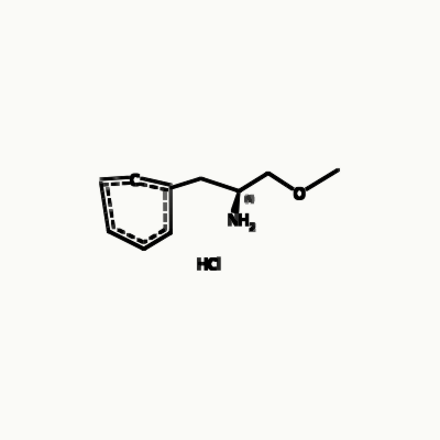 COC[C@@H](N)Cc1ccccc1.Cl